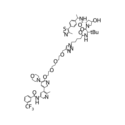 Cc1ncc(NC(=O)c2cccc(C(F)(F)F)c2)cc1-c1cnc(OCCOCCOCCOCc2cn(CCCCC(=O)NC(C(=O)N3C[C@H](O)C[C@H]3C(=O)NC(C)c3ccc(-c4scnc4C)cc3)C(C)(C)C)nn2)c(N2CCOCC2)c1